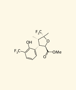 COC(=O)[C@@H]1O[C@@](C)(C(F)(F)F)[C@@H](C)[C@H]1c1cccc(C(F)(F)F)c1O